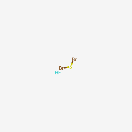 BrSBr.F